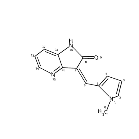 Cn1cccc1C=C1C(=O)Nc2cccnc21